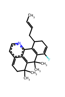 CC=CCC1CC=C(F)C2=C1c1nccc3c1=C(C(C)(C)CC=3)C2(C)C